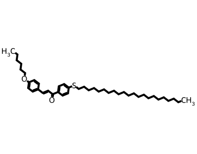 CCCCCCCCCCCCCCCCCCCCCCSc1ccc(C(=O)/C=C/c2ccc(OCCCCCC)cc2)cc1